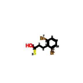 OC(=S)CCc1c(Br)cccc1Br